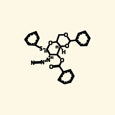 [N-]=[N+]=N[C@H]1C(OC(=O)c2ccccc2)[C@@H]2OC(c3ccccc3)OCC2O[C@H]1Sc1ccccc1